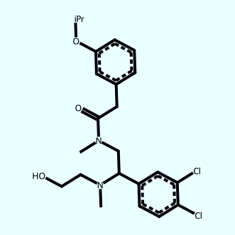 CC(C)Oc1cccc(CC(=O)N(C)CC(c2ccc(Cl)c(Cl)c2)N(C)CCO)c1